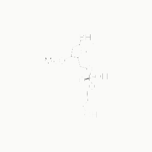 BC1CC(OC)C(COP(=O)(O)OCCCO)O1